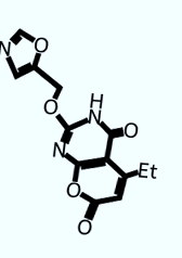 CCc1cc(=O)oc2nc(OCc3cnco3)[nH]c(=O)c12